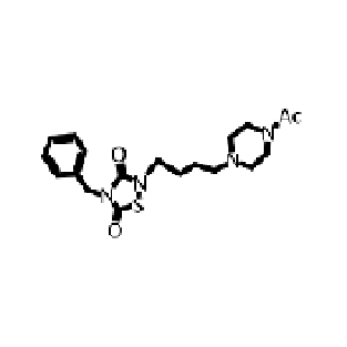 CC(=O)N1CCN(CCCCn2sc(=O)n(Cc3ccccc3)c2=O)CC1